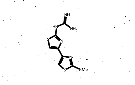 CNc1nc(-c2csc(NC(=N)N)n2)cs1